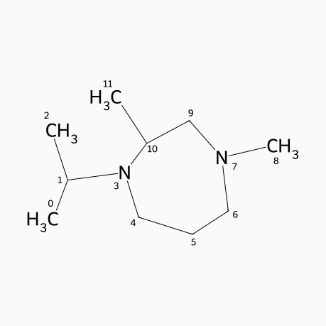 CC(C)N1CCCN(C)CC1C